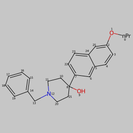 CCCOc1ccc2cc(C3(O)CCN(Cc4ccccc4)CC3)ccc2c1